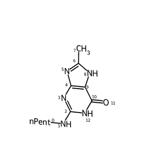 CCCCCNc1nc2nc(C)[nH]c2c(=O)[nH]1